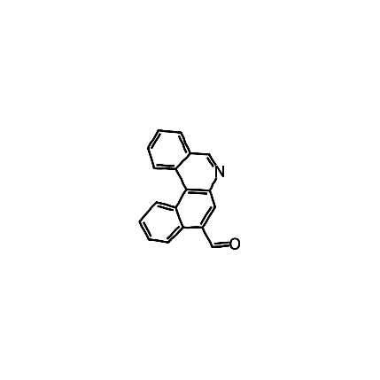 O=Cc1cc2ncc3ccccc3c2c2ccccc12